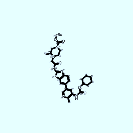 Cc1ncc(-c2ccc3nc(NC(=O)CN4CCN(C(=O)OC(C)(C)C)CC4C)sc3c2)cc1NC(=O)OC1CCCCC1